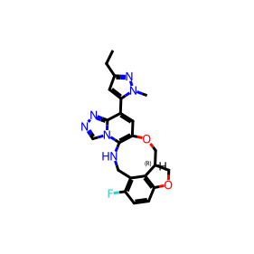 CCc1cc(-c2cc3c(n4cnnc24)NCc2c(F)ccc4c2[C@H](CO4)CO3)n(C)n1